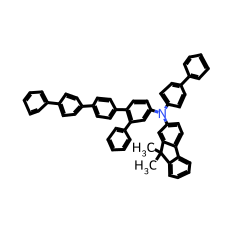 CC1(C)c2ccccc2-c2ccc(N(c3ccc(-c4ccccc4)cc3)c3ccc(-c4ccc(-c5ccc(-c6ccccc6)cc5)cc4)c(-c4ccccc4)c3)cc21